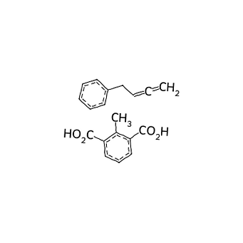 C=C=CCc1ccccc1.Cc1c(C(=O)O)cccc1C(=O)O